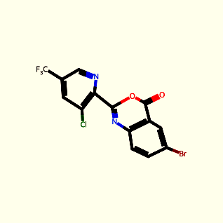 O=c1oc(-c2ncc(C(F)(F)F)cc2Cl)nc2ccc(Br)cc12